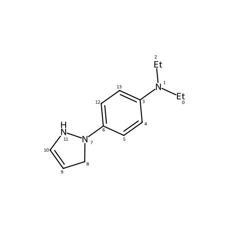 CCN(CC)c1ccc(N2CC=CN2)cc1